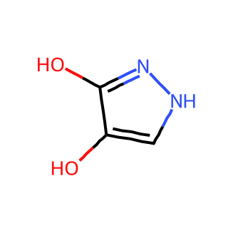 Oc1c[nH]nc1O